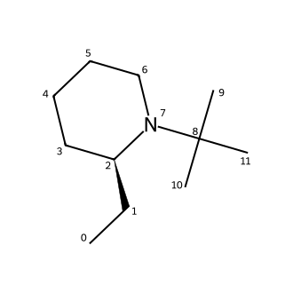 CC[C@H]1CCCCN1C(C)(C)C